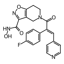 O=C(NO)c1noc2c1CN(C(=O)C(=Cc1ccncc1)c1ccc(F)cc1)CC2